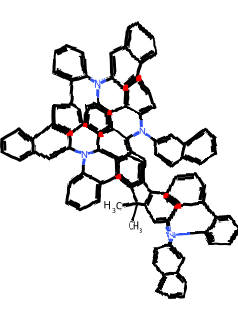 CC1(C)c2cc(N(c3ccc4ccccc4c3)c3ccccc3-c3ccccc3)ccc2-c2cc3c(N(c4ccc5ccccc5c4)c4ccccc4-c4ccccc4)c4cc(N(c5ccc6ccccc6c5)c5ccccc5-c5ccccc5)ccc4c(N(c4ccc5ccccc5c4)c4ccccc4-c4ccccc4)c3cc21